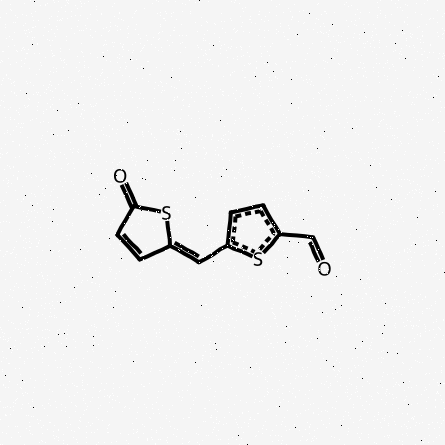 O=Cc1ccc(C=C2C=CC(=O)S2)s1